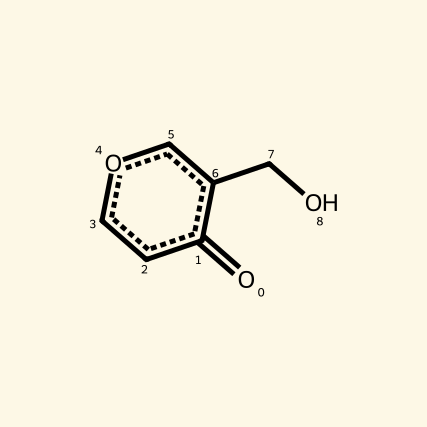 O=c1ccocc1CO